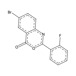 O=c1oc(-c2ccccc2F)nc2ccc(Br)cc12